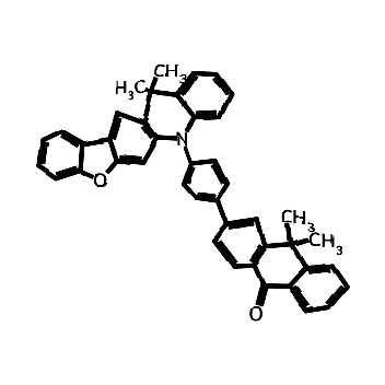 CC1(C)c2ccccc2C(=O)c2ccc(-c3ccc(N4c5ccccc5C(C)(C)c5cc6c(cc54)oc4ccccc46)cc3)cc21